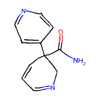 NC(=O)C1(c2ccncc2)C=CC=NC1